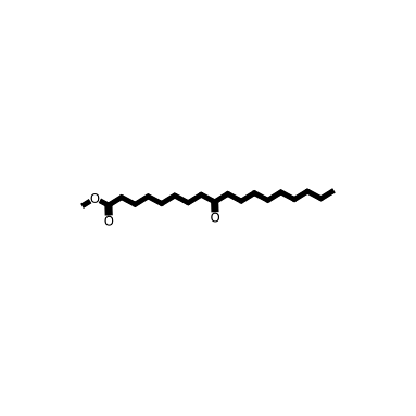 CCCCCCCCCC(=O)CCCCCCCC(=O)OC